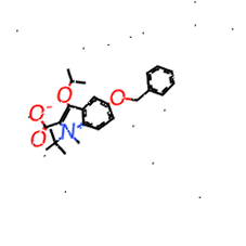 CC(C)OC1=C(C(=O)[O-])[N+](C)(C(C)(C)C)c2ccc(OCc3ccccc3)cc21